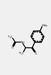 CSc1ccc(C(=O)C(C)NC(=O)C(F)(F)F)cc1